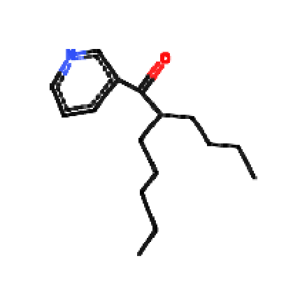 CCCCCC(CCCC)C(=O)c1cccnc1